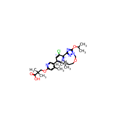 C\C=C(/C=C(Cl)\C1=N\[Si](C)(C)CCOCn2nc1nc2OC(C)C)c1cnc(OCC(C)(C)C(=O)O)cc1C